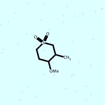 COC1CCS(=O)(=O)CC1C